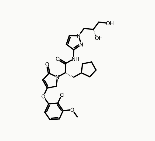 COc1cccc(OC2=CC(=O)N([C@@H](CC3CCCC3)C(=O)Nc3ccn(C[C@@H](O)CO)n3)C2)c1Cl